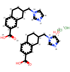 Cl.Cl.O.O=C(O)c1ccc2c(c1)CC(Cn1ccnc1)CC2.O=C(O)c1ccc2c(c1)CC(Cn1ccnc1)CC2